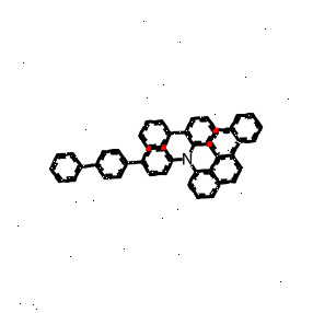 c1ccc(-c2ccc(-c3ccc(N(c4ccccc4-c4ccccc4)c4cccc5ccc6c7ccccc7ccc6c45)cc3)cc2)cc1